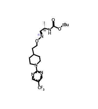 C[C@@H](/C=N/OCCC1CCN(c2ncc(C(F)(F)F)cn2)CC1)NC(=O)OC(C)(C)C